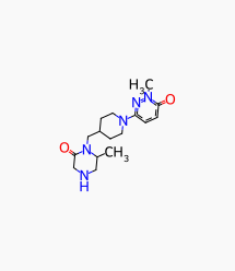 CC1CNCC(=O)N1CC1CCN(c2ccc(=O)n(C)n2)CC1